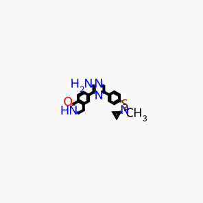 CN(Sc1ccc(-c2cnc(N)c(-c3ccc4c(c3)CCNC4=O)n2)cc1)C1CC1